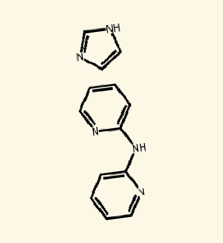 c1c[nH]cn1.c1ccc(Nc2ccccn2)nc1